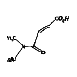 CCCCN(C)C(=O)/C=C/C(=O)O